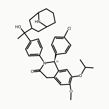 COc1cc2c(cc1OC(C)C)[C@H](c1ccc(Cl)cc1)N(c1ccc(C(C)(O)C3CC4CCCC(C3)N4)cc1)C(=O)C2